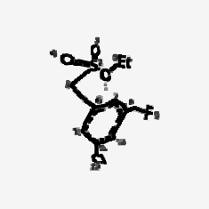 CCOS(=O)(=O)Cc1cc(F)cc(Cl)c1